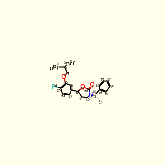 CCCC(CCC)COc1cc(C2CCN([C@@H](C)c3ccccc3)C(=O)O2)ccc1F